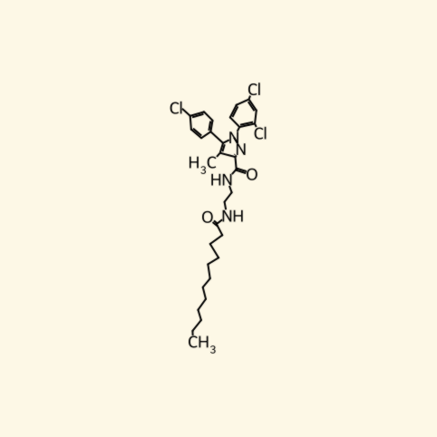 CCCCCCCCCCCC(=O)NCCNC(=O)c1nn(-c2ccc(Cl)cc2Cl)c(-c2ccc(Cl)cc2)c1C